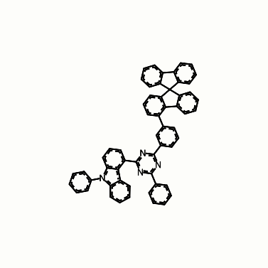 c1ccc(-c2nc(-c3cccc(-c4cccc5c4-c4ccccc4C54c5ccccc5-c5ccccc54)c3)nc(-c3cccc4c3c3ccccc3n4-c3ccccc3)n2)cc1